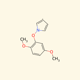 COc1ccc(OC)c(On2c[c]cc2)c1